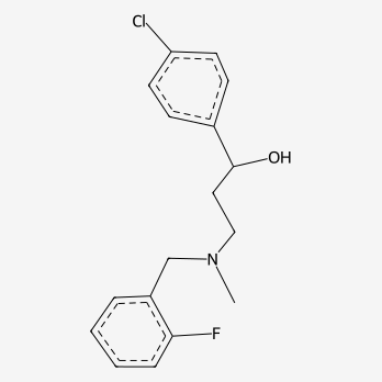 CN(CCC(O)c1ccc(Cl)cc1)Cc1ccccc1F